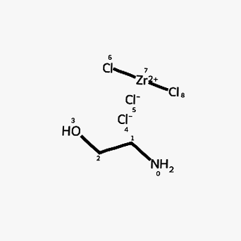 NCCO.[Cl-].[Cl-].[Cl][Zr+2][Cl]